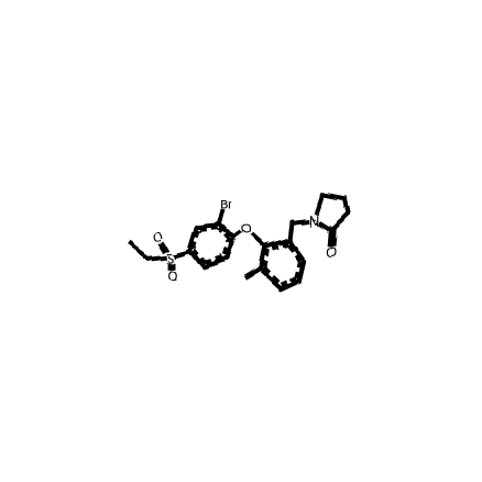 CCS(=O)(=O)c1ccc(Oc2c(C)cccc2CN2CCCC2=O)c(Br)c1